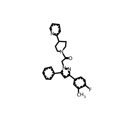 Cc1cc(-c2cc(-c3ccccc3)n(CC(=O)N3CCC(c4ccccn4)CC3)n2)ccc1F